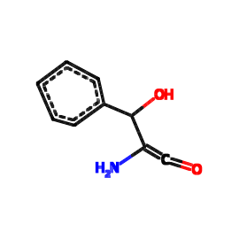 NC(=C=O)C(O)c1ccccc1